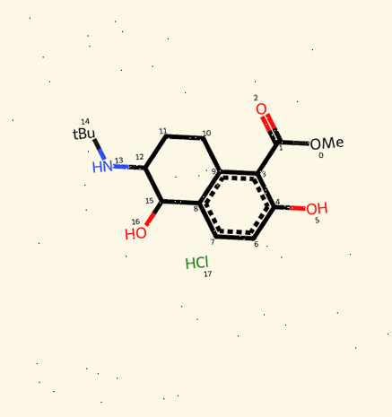 COC(=O)c1c(O)ccc2c1CCC(NC(C)(C)C)C2O.Cl